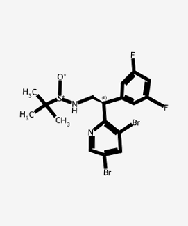 CC(C)(C)[S+]([O-])NC[C@@H](c1cc(F)cc(F)c1)c1ncc(Br)cc1Br